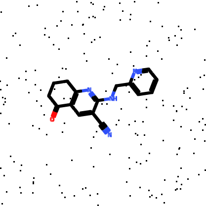 N#Cc1cc2c(nc1NCc1ccccn1)CCCC2=O